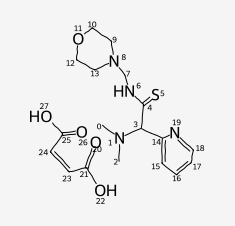 CN(C)C(C(=S)NCN1CCOCC1)c1ccccn1.O=C(O)/C=C\C(=O)O